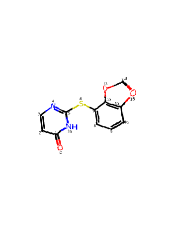 O=c1ccnc(Sc2cccc3c2OCO3)[nH]1